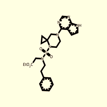 CCOC(=O)CN(CCc1ccccc1)S(=O)(=O)N1CCN(c2ncnc3[nH]ccc23)CC12CC2